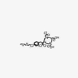 CCOCCOCCOc1ccc(C[C@H](C(=O)O)N2CCN(CC(=O)O)CCN(CC(=O)O)CCN(CC(=O)OC)CC2)cc1